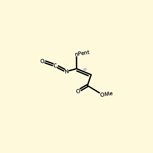 CCCCC/C(=C/C(=O)OC)N=C=O